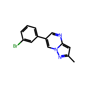 Cc1cc2ncc(-c3cccc(Br)c3)cn2n1